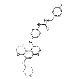 O=C(NCc1ccc(F)cc1)Nc1ccc(Oc2ccnc3cc(OC4CCOCC4)c4c(c23)OCCO4)cc1